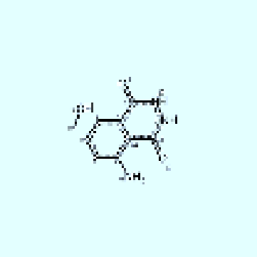 CO.Nc1cccc2c(=O)[nH][nH]c(=O)c12